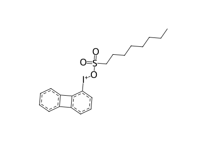 CCCCCCCCS(=O)(=O)O[I+]c1cccc2c1-c1ccccc1-2